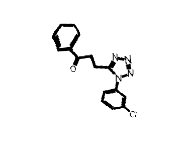 O=C(CCc1nnnn1-c1cccc(Cl)c1)c1ccccc1